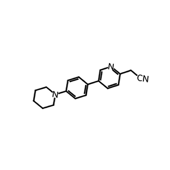 N#CCc1ccc(-c2ccc(N3CCCCC3)cc2)cn1